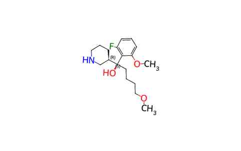 COCCCC[C@@](O)(c1c(F)cccc1OC)[C@@H]1CCCNC1